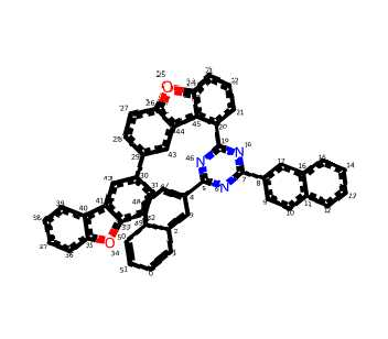 C1=CC2=CC(c3nc(-c4ccc5ccccc5c4)nc(-c4cccc5oc6ccc(-c7ccc8oc9ccccc9c8c7)cc6c45)n3)=CCC2C=C1